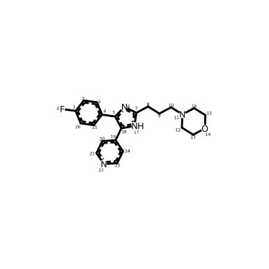 Fc1ccc(-c2nc(CCCN3CCOCC3)[nH]c2-c2ccncc2)cc1